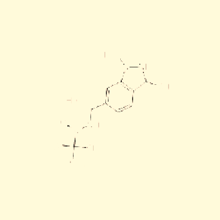 CC1NN(C)c2cc([C@@H](C)N[S@+]([O-])C(C)(C)C)ccc21